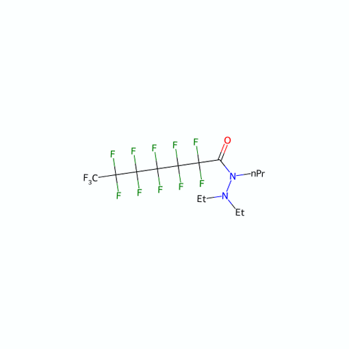 CCCN(C(=O)C(F)(F)C(F)(F)C(F)(F)C(F)(F)C(F)(F)C(F)(F)F)N(CC)CC